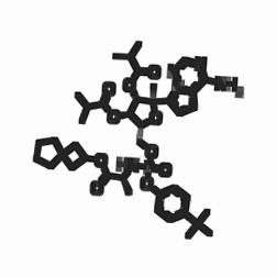 CC(C)C(=O)O[C@H]1[C@@H](OC(=O)C(C)C)[C@](C)(c2ccc3c(N)ncnn23)O[C@@H]1COP(=O)(N[C@@H](C)C(=O)OC1CC2(CCCC2)C1)Oc1ccc(C(C)(C)C)cc1